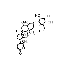 CC(=O)OC1CC2(O)C(CCC3(C)C(c4ccc(=O)oc4)CCC32O)C2(C)CCC(OC3OC(CO)C(O)C(O)C3O)C=C12